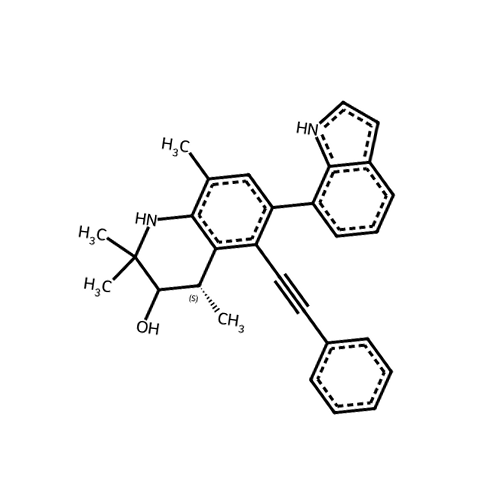 Cc1cc(-c2cccc3cc[nH]c23)c(C#Cc2ccccc2)c2c1NC(C)(C)C(O)[C@H]2C